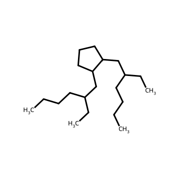 CCCCC(CC)C[C]1CCCC1CC(CC)CCCC